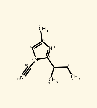 CCC(C)c1nc(C)cn1C#N